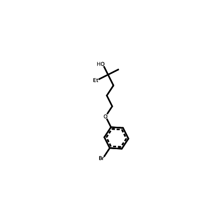 CCC(C)(O)CCCOc1cccc(Br)c1